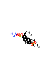 CCc1cc2c(cc1OSOON)CC[C@@H]1[C@@H]2CC[C@]2(C)[C@@H](CS(C)(=O)=O)CC[C@@H]12